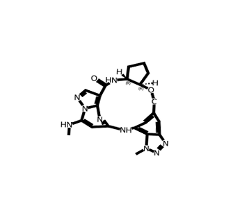 CNc1cc2nc3c(cnn13)C(=O)N[C@@H]1CCC[C@H]1OCc1cc(c3c(c1)nnn3C)N2